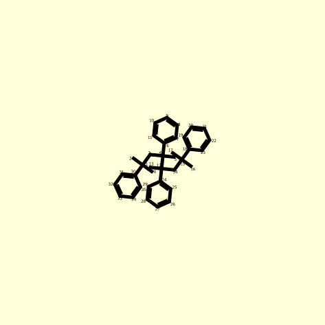 CC(C)(CC(C)(c1ccccc1)C(C)(CC(C)(C)c1ccccc1)c1ccccc1)c1ccccc1